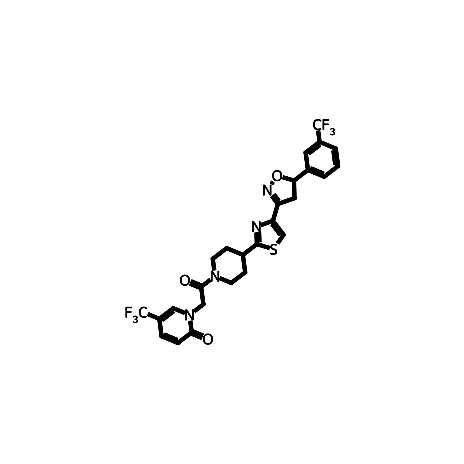 O=C(Cn1cc(C(F)(F)F)ccc1=O)N1CCC(c2nc(C3=NOC(c4cccc(C(F)(F)F)c4)C3)cs2)CC1